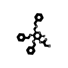 O=C(CCl)O[C@@H]1[C@@H](OCc2ccccc2)[C@@H](OCc2ccccc2)[C@@H](COCc2ccccc2)O[C@H]1F